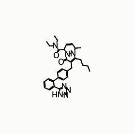 CCCCc1c(Cc2ccc(-c3ccccc3-c3nnn[nH]3)cc2)c(=O)n2n1C(C)C=CC2C(=O)N(CC)CC